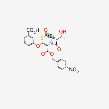 C[C@@H](O)[C@H]1C(=O)N(C(C(=O)OCc2ccc([N+](=O)[O-])cc2)=C(Oc2cccc(C(=O)O)c2)SC(=O)C(C)(C)C)[C@H]1Cl